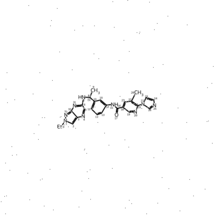 CCn1cc2ncc(N[C@@H](C)c3cccc(NC(=O)c4cnc(-n5ccnc5)c(C)c4)c3)nc2n1